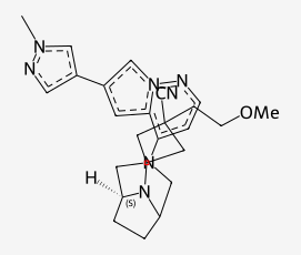 COCCC1(C#N)CC(N2C3CC[C@H]2CN(c2ccnn4cc(-c5cnn(C)c5)cc24)C3)C1